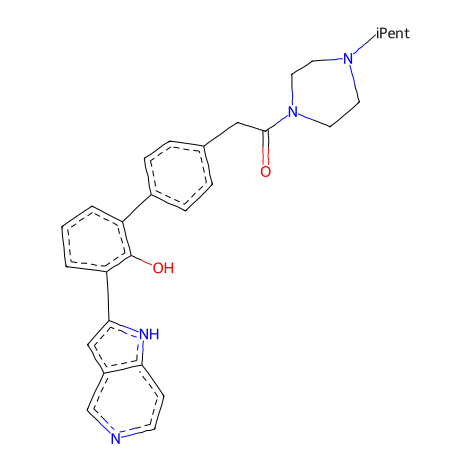 CCCC(C)N1CCN(C(=O)Cc2ccc(-c3cccc(-c4cc5cnccc5[nH]4)c3O)cc2)CC1